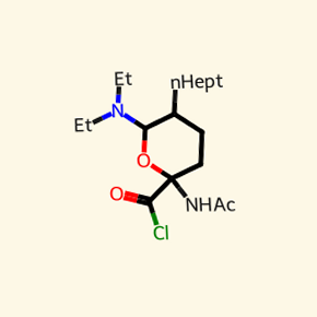 CCCCCCCC1CCC(NC(C)=O)(C(=O)Cl)OC1N(CC)CC